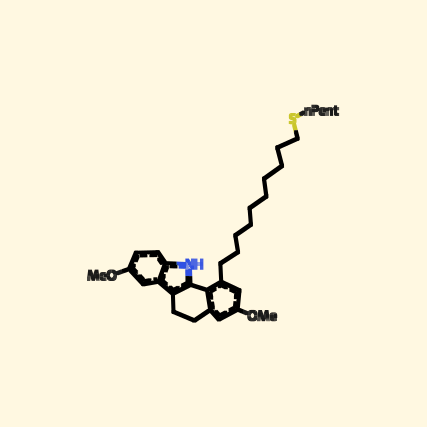 CCCCCSCCCCCCCCCCc1cc(OC)cc2c1-c1[nH]c3ccc(OC)cc3c1CC2